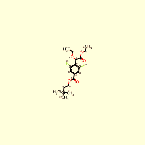 CCOC(=O)C(OCC)c1c(F)cc(C(=O)OCC[Si](C)(C)C)cc1F